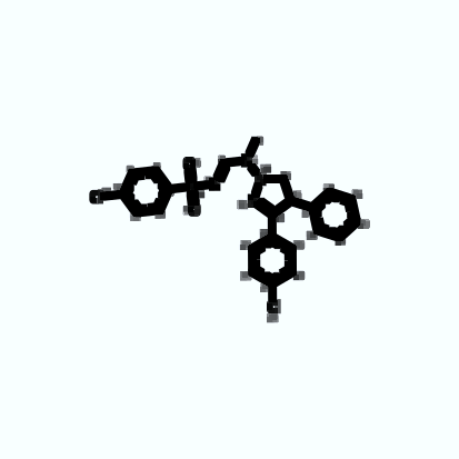 CN(C=NS(=O)(=O)c1ccc(Cl)cc1)N1CC(c2ccccc2)C(c2ccc(Cl)cc2)=N1